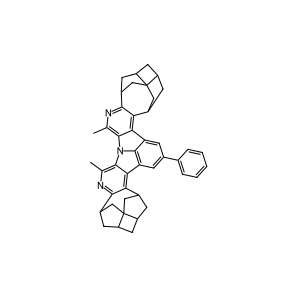 Cc1nc2c(c3c4cc(-c5ccccc5)cc5c6c7c(nc(C)c6n(c13)c45)C1CC3CC4CC7CC34C1)C1CC3CC4CC2CC43C1